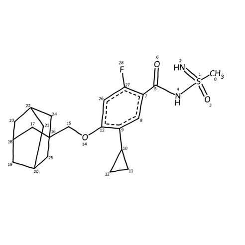 CS(=N)(=O)NC(=O)c1cc(C2CC2)c(OCC23CC4CC(CC(C4)C2)C3)cc1F